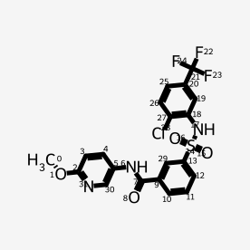 COc1ccc(NC(=O)c2cccc(S(=O)(=O)Nc3cc(C(F)(F)F)ccc3Cl)c2)cn1